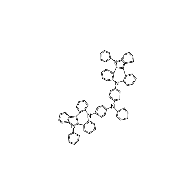 c1ccc(N(c2ccc(N3c4ccccc4-c4c(n(-c5ccccc5)c5ccccc45)-c4ccccc43)cc2)c2ccc(N3c4ccccc4-c4c(n(-c5ccccc5)c5ccccc45)-c4ccccc43)cc2)cc1